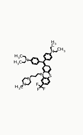 CCN(CC)c1ccc(C(=C2C=C3C(=CC2)Sc2ccc(C(F)(F)F)cc2N3CCCN2CCN(C)CC2)c2ccc(N(CC)CC)cc2)cc1